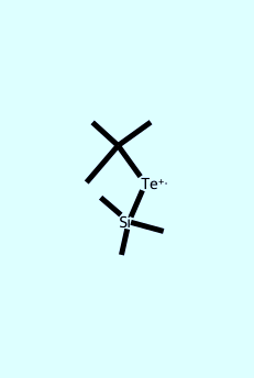 CC(C)(C)[Te+][Si](C)(C)C